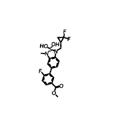 COC(=O)c1ccc(F)c(-c2ccc3c(c2)N(C)S(O)(O)N3CC2CC2(F)F)c1